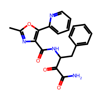 Cc1nc(C(=O)NC(Cc2ccccc2)C(=O)C(N)=O)c(-c2ccccn2)o1